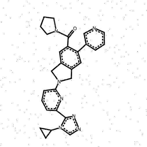 O=C(c1cc2c(cc1-c1cccnc1)CN(c1cccc(-c3nncn3C3CC3)n1)C2)N1CCCC1